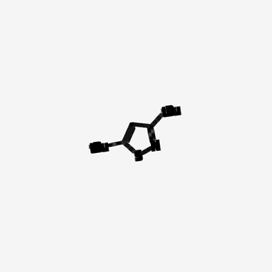 CC(C)(C)c1cc(C(C)(C)C)sn1